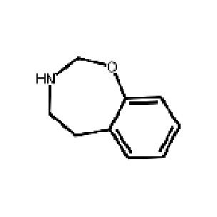 c1ccc2c(c1)CCNCO2